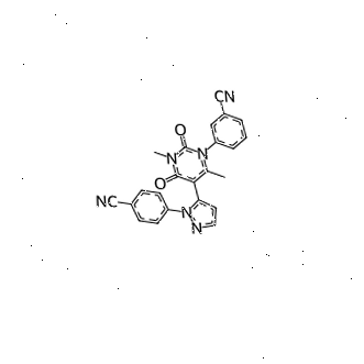 Cc1c(-c2ccnn2-c2ccc(C#N)cc2)c(=O)n(C)c(=O)n1-c1cccc(C#N)c1